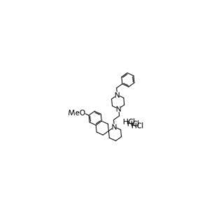 COc1ccc2c(c1)CCC1(CCCCN1CCN1CCN(Cc3ccccc3)CC1)C2.Cl.Cl.Cl